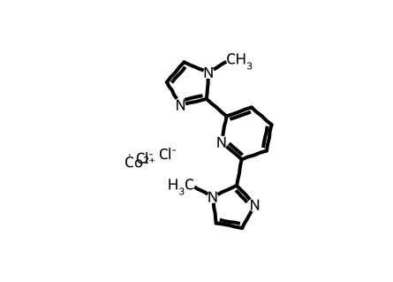 Cn1ccnc1-c1cccc(-c2nccn2C)n1.[Cl-].[Cl-].[Co+2]